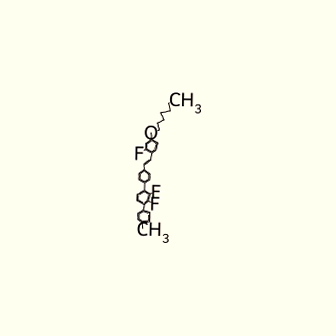 CCCCCCCOc1ccc(/C=C/c2ccc(-c3ccc(-c4ccc(C)cc4)c(F)c3F)cc2)c(F)c1